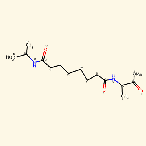 COC(=O)C(C)NC(=O)CCCCCCC(=O)NC(C)C(=O)O